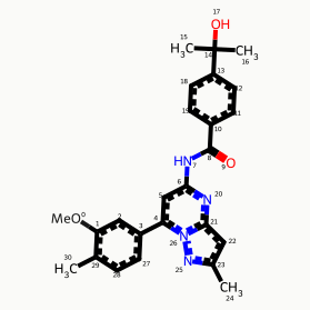 COc1cc(-c2cc(NC(=O)c3ccc(C(C)(C)O)cc3)nc3cc(C)nn23)ccc1C